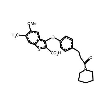 COc1cc2c(Oc3ccc(CCC(=O)N4CCCCC4)cc3)c(C(=O)O)sc2cc1C